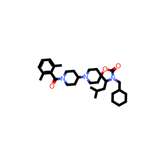 Cc1cccc(C)c1C(=O)N1CCC(N2CCC3(CC2)OC(=O)N(CC2CCCCC2)C3CC(C)C)CC1